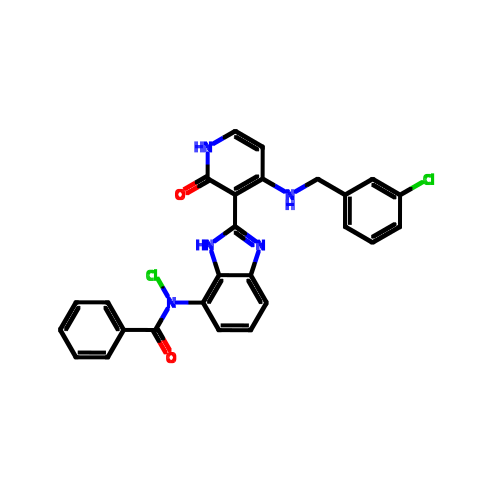 O=C(c1ccccc1)N(Cl)c1cccc2nc(-c3c(NCc4cccc(Cl)c4)cc[nH]c3=O)[nH]c12